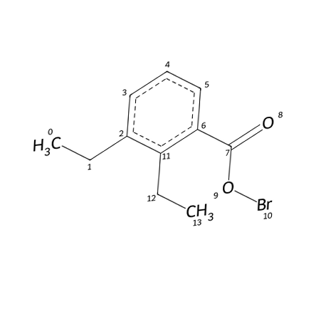 CCc1cccc(C(=O)OBr)c1CC